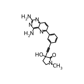 CN1CCC(O)(C#Cc2cccc(-c3ccc4nc(N)nc(N)c4n3)c2)C1=O